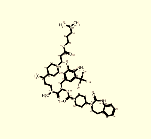 CC(CCN(C)C(=O)[C@@H](Cc1cc(Cl)c(N)c(C(F)(F)F)c1)OC(=O)N1CCC(N2CCc3ccccc3NC2=O)CC1)C1CCN(CCC(=O)OCCCN(C)C)CC1